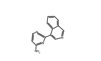 Nc1ccnc(-c2cncc3ccccc23)n1